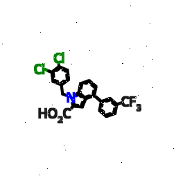 O=C(O)c1cc2c(-c3cccc(C(F)(F)F)c3)cccc2n1Cc1ccc(Cl)c(Cl)c1